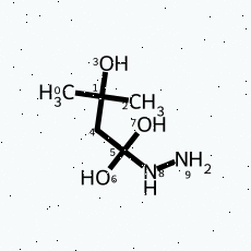 CC(C)(O)CC(O)(O)NN